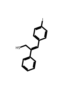 SCC(=Cc1ccc(I)cc1)c1ccccc1